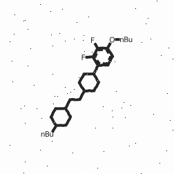 CCCCOc1ccc(C2CCC(CCC3CCC(CCCC)CC3)CC2)c(F)c1F